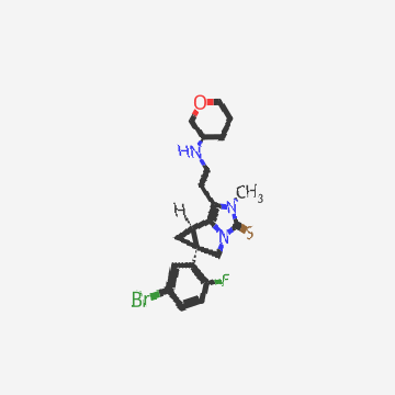 Cn1c(CCN[C@@H]2CCCOC2)c2n(c1=S)C[C@@]1(c3cc(Br)ccc3F)C[C@@H]21